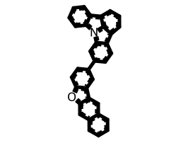 c1ccc2cc3c(cc2c1)oc1ccc(-c2ccc4c5cccc6c7ccccc7n(c4c2)c65)cc13